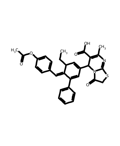 CCC1C=C(C2C(C(=O)O)=C(C)N=C3SCC(=O)N32)C=C(c2ccccc2)C1=Cc1ccc(OC(C)=O)cc1